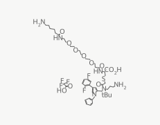 CC(C)(C)[C@H](c1cc(-c2cc(F)ccc2F)cn1Cc1ccccc1)N(CCCN)C(=O)CSC[C@H](NC(=O)CCOCCOCCOCCOCCNC(=O)CCCCCN)C(=O)O.O=C(O)C(F)(F)F